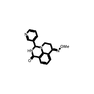 CO/N=C1\CCN2c3c(cccc31)C(=O)NC2c1cccnc1